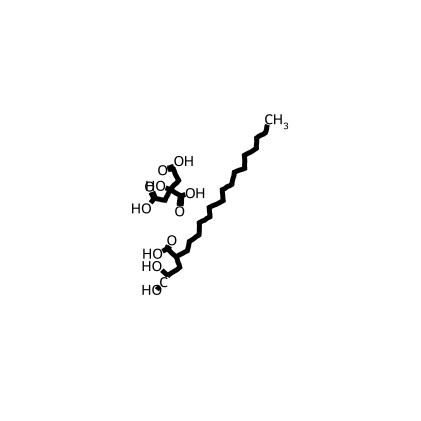 CCCCCCCCCCCCCCCCC(CC(O)CO)C(=O)O.O=C(O)CC(O)(CC(=O)O)C(=O)O